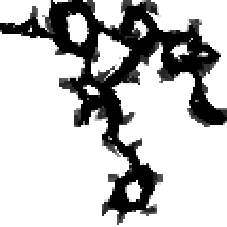 COc1ccc2c(c1)-c1nnc(COCc3ccccn3)n1Cc1c(-c3noc(C4CC4)n3)ncn1-2